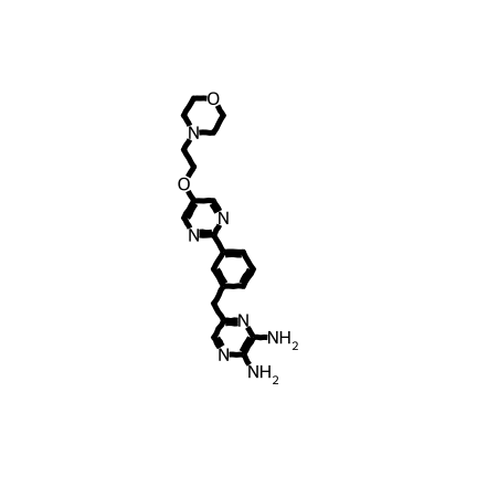 Nc1ncc(Cc2cccc(-c3ncc(OCCN4CCOCC4)cn3)c2)nc1N